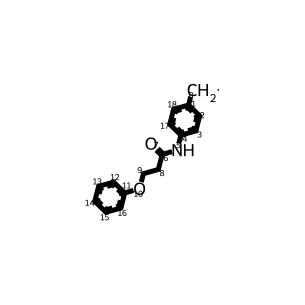 [CH2]c1ccc(NC(=O)CCOc2ccccc2)cc1